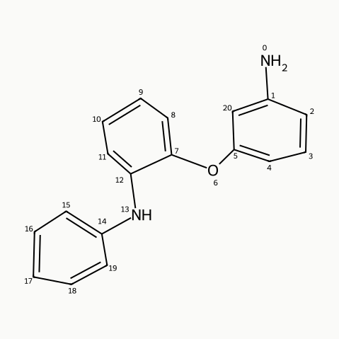 Nc1cccc(Oc2ccccc2Nc2ccccc2)c1